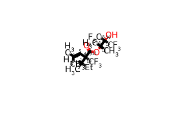 CCC(C)(C)C(C=C(C)C)(C(=O)OC(C)(C)C(O)(C(F)(F)F)C(F)(F)F)C(F)(F)F